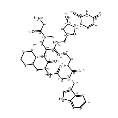 C[C@@H]([C@H](NC(=O)[C@H](CC1CCCCC1)NC(=O)N[C@@H](Cc1c[nH]c2ccccc12)C(=O)NCC(C)(C)C)C(=O)NC[C@H]1C[C@@H](O)[C@H](n2ccc(=O)[nH]c2=O)O1)N(C)C(=O)CN